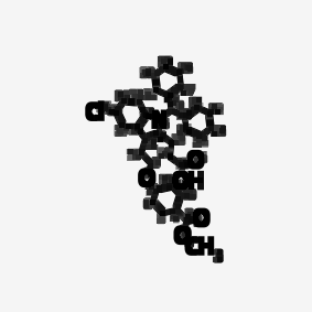 COC(=O)c1ccc(OCCc2c(CCC(=O)O)n(C(c3ccccc3)c3ccccc3)c3ccc(Cl)cc23)cc1